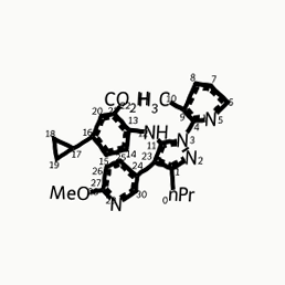 CCCc1nn(-c2ncccc2C)c(Nc2ccc(C3CC3)cc2C(=O)O)c1-c1ccc(OC)nc1